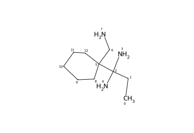 CCC(N)(N)C1(CN)CCCCC1